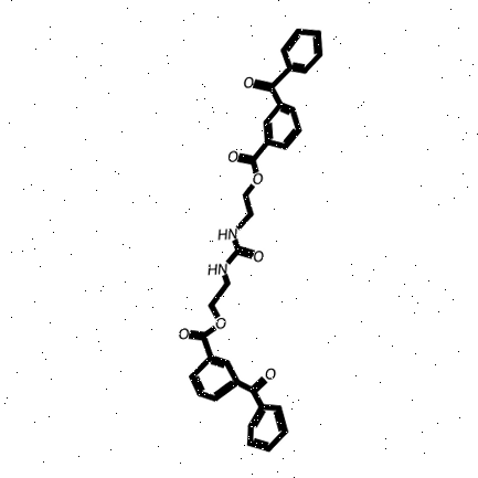 O=C(NCCOC(=O)c1cccc(C(=O)c2ccccc2)c1)NCCOC(=O)c1cccc(C(=O)c2ccccc2)c1